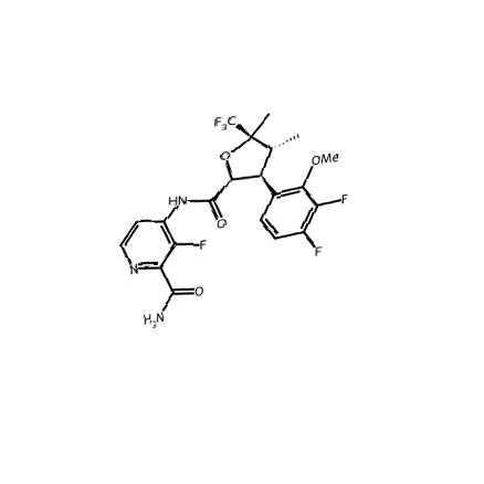 COc1c([C@H]2[C@@H](C(=O)Nc3ccnc(C(N)=O)c3F)O[C@@](C)(C(F)(F)F)[C@@H]2C)ccc(F)c1F